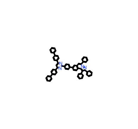 c1ccc(-c2ccc(-c3cc(-c4ccc(-c5ccccc5)cc4)nc(-c4ccc(-c5ccc6c(c5)cc(-c5ccccc5)n5nc(-c7ccccc7)c(-c7ccccc7)c65)cc4)n3)cc2)cc1